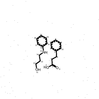 O=C(O)CCc1ccccc1.OCCCNc1ccccc1